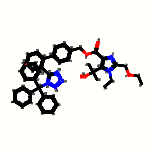 CCOCc1nc(C(=O)OCc2ccc(-c3ccccc3-c3nnnn3C(c3ccccc3)(c3ccccc3)c3ccccc3)cc2)c(C(C)(C)O)n1CC